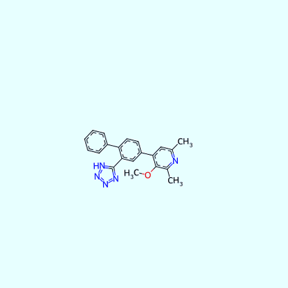 COc1c(-c2ccc(-c3ccccc3)c(-c3nnn[nH]3)c2)cc(C)nc1C